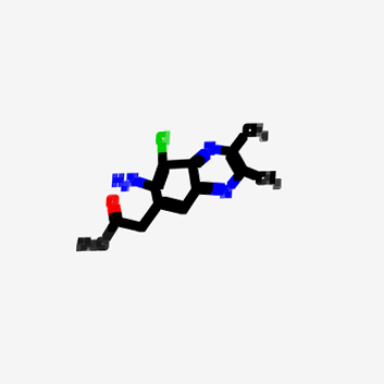 COC(=O)Cc1cc2nc(C)c(C)nc2c(Cl)c1N